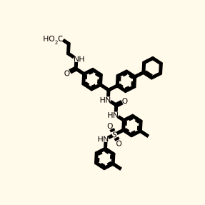 Cc1cccc(NS(=O)(=O)c2cc(C)ccc2NC(=O)NC(c2ccc(C(=O)NCCC(=O)O)cc2)c2ccc(C3=CCCCC3)cc2)c1